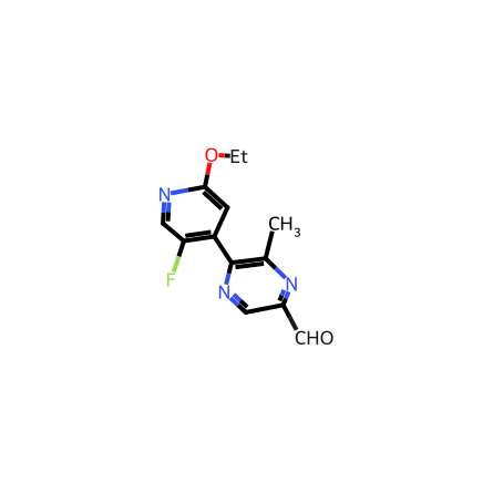 CCOc1cc(-c2ncc(C=O)nc2C)c(F)cn1